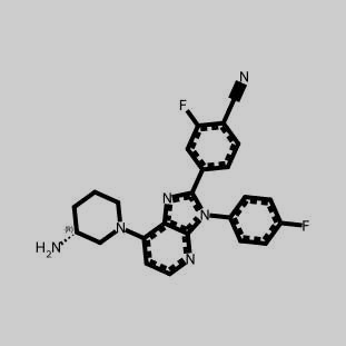 N#Cc1ccc(-c2nc3c(N4CCC[C@@H](N)C4)ccnc3n2-c2ccc(F)cc2)cc1F